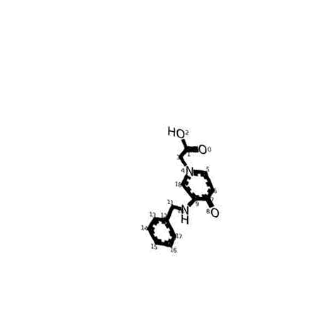 O=C(O)Cn1ccc(=O)c(NCc2ccccc2)c1